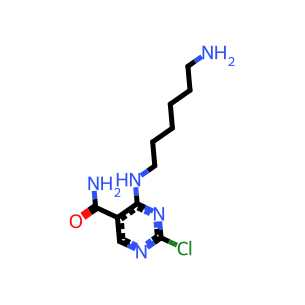 NCCCCCCNc1nc(Cl)ncc1C(N)=O